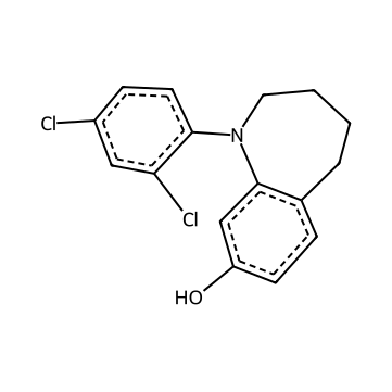 Oc1ccc2c(c1)N(c1ccc(Cl)cc1Cl)CCCC2